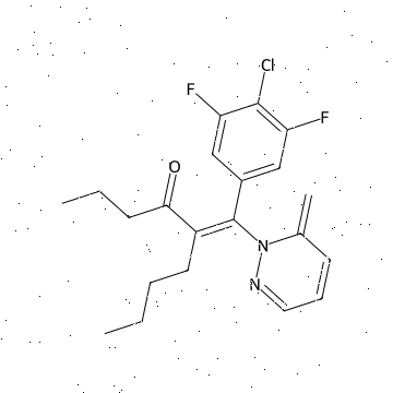 C=C1C=CC=NN1/C(=C(\CCCC)C(=O)CCC)c1cc(F)c(Cl)c(F)c1